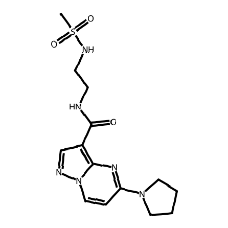 CS(=O)(=O)NCCNC(=O)c1cnn2ccc(N3CCCC3)nc12